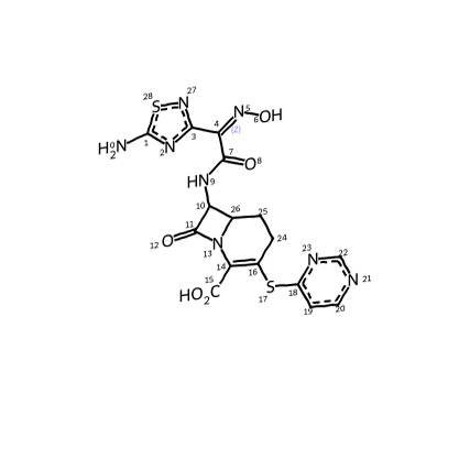 Nc1nc(/C(=N/O)C(=O)NC2C(=O)N3C(C(=O)O)=C(Sc4ccncn4)CCC23)ns1